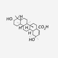 C[C@@H]1[C@H]2[C@H]3CC[C@@H]4[C@@]5(C)CC[C@H](O)C(C)(C)[C@@H]5CC[C@@]4(C)[C@]3(C)CC[C@@]2(C(=O)O)C=C[C@@]1(C)O